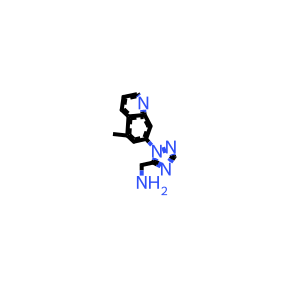 Cc1cc(-n2ncnc2CN)cc2ncccc12